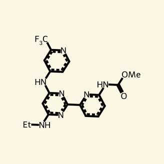 CCNc1cc(Nc2ccnc(C(F)(F)F)c2)nc(-c2cccc(NC(=O)OC)n2)n1